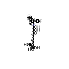 CC(C)c1nc(N(C)S(C)(=O)=O)nc(-c2ccc(F)cc2)c1/C=C/C(O)CC(O)CC(=O)OCCCOCC(CON(O)O)ON(O)O